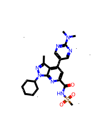 Cc1nn(C2CCCCC2)c2nc(C(=O)NS(C)(=O)=O)cc(-c3cnc(N(C)C)nc3)c12